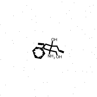 C=CCC(N)(CO)C(O)(CC=C)Cc1ccccc1